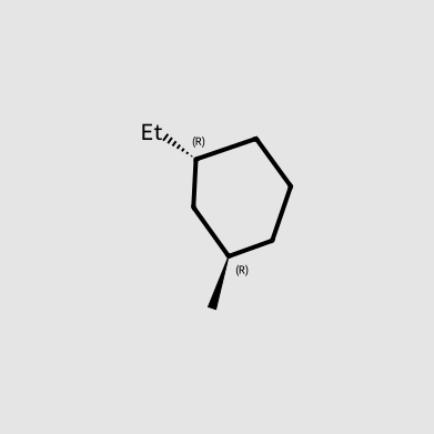 CC[C@@H]1CCC[C@@H](C)C1